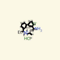 C=CC[N+](C)(C)C(CC)c1ccccc1.CC(C)C(N)c1ccccc1.Cl.[Cl-]